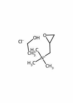 CCO.C[N+](C)(C)CC1CO1.[Cl-]